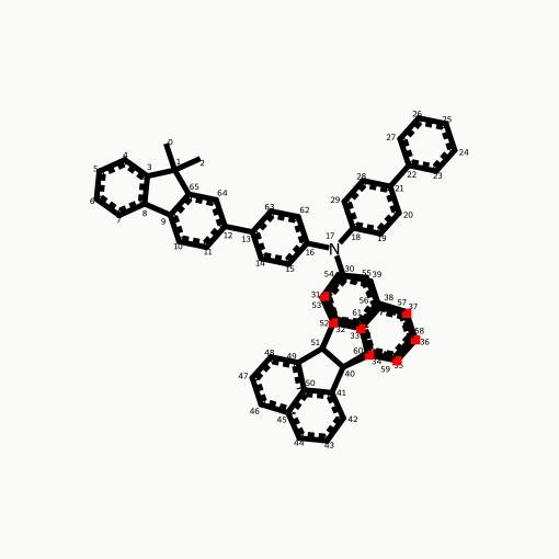 CC1(C)c2ccccc2-c2ccc(-c3ccc(N(c4ccc(-c5ccccc5)cc4)c4cc5c6c(cccc6c4)C46c7cccc8cccc(c78)C54c4cccc5cccc6c45)cc3)cc21